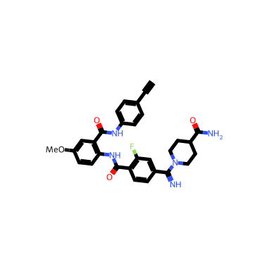 C#Cc1ccc(NC(=O)c2cc(OC)ccc2NC(=O)c2ccc(C(=N)N3CCC(C(N)=O)CC3)cc2F)cc1